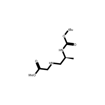 COC(=O)CNC[C@H](C)NC(=O)OC(C)(C)C